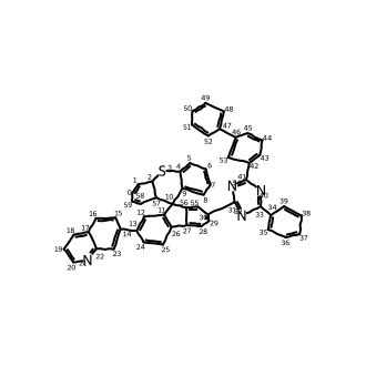 C1=CC2Sc3ccccc3C3(c4cc(-c5ccc6cccnc6c5)ccc4-c4ccc(-c5nc(-c6ccccc6)nc(-c6cccc(-c7ccccc7)c6)n5)cc43)C2C=C1